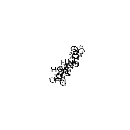 COC(=O)c1ccc(C(=O)NN=Cc2csc(-c3ccc(Cl)c(Cl)c3)c2O)cc1